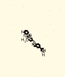 C[C@@H]1C[C@H](Cn2ncc3cc(-c4cn[nH]c4)ccc32)CN1S(=O)(=O)c1cccc(F)c1F